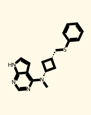 CN(c1ncnc2[nH]ccc12)[C@H]1C[C@@H](CSc2ccccc2)C1